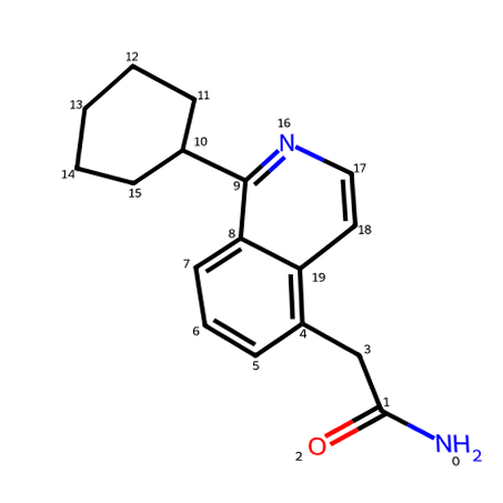 NC(=O)Cc1cccc2c(C3CCCCC3)nccc12